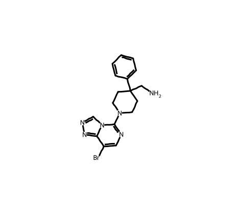 NCC1(c2ccccc2)CCN(c2ncc(Br)c3nncn23)CC1